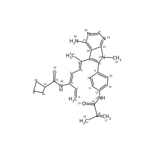 C=C/C(=C\C=C(/C)c1c(-c2ccc(NC(=O)C(=C)C)cc2)n(C)c2ncnc(N)c12)NC(=O)C1CCC1